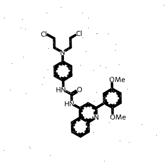 COc1ccc(OC)c(-c2cc(NC(=O)Nc3ccc(N(CCCl)CCCl)cc3)c3ccccc3n2)c1